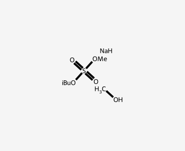 CO.COS(=O)(=O)OCC(C)C.[NaH]